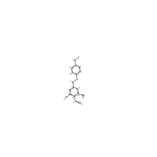 COc1ccc(COc2cc(F)c(C=O)c(Br)c2)cc1